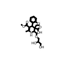 CCC1(C(=O)O)C(COCC(O)CO)NC(C)=C(C(=O)OC)C1c1ccccc1Cl